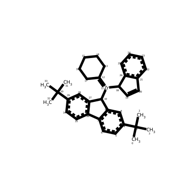 CC(C)(C)c1ccc2c(c1)[CH]([Zr](=[C]1CCCCC1)[CH]1C=Cc3ccccc31)c1cc(C(C)(C)C)ccc1-2